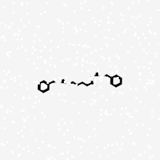 CC(=O)C(CCCCNC(=O)OCc1ccccc1)NC(=O)OCc1ccccc1